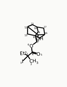 CCC(C)(I)C(=O)OCC12CC3CC(C1)C(O)C(C3)C2